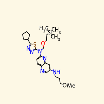 COCCCNc1cnc2ccc(N(COCC[Si](C)(C)C)c3nnc(C4CCCC4)s3)nc2c1